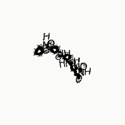 O=C(Cc1cc(=O)[nH]c(=O)[nH]1)Nc1cccc(C(=O)Nc2ccc(S(=O)(=O)Nc3ccccc3)cc2)c1